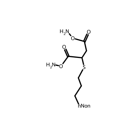 CCCCCCCCCCCCSC(CC(=O)ON)C(=O)ON